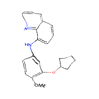 COc1ccc(Nc2cccc3cccnc23)cc1OC1CCCC1